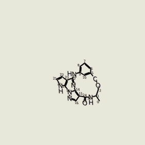 CC1COCc2cccc(c2)Nc2nc3c(cnn3c3[nH]ccc23)C(=O)N1